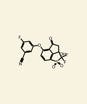 N#Cc1cc(F)cc(Oc2ccc3c4c2C(=O)CC4(O)C(F)(F)S3(=O)=O)c1